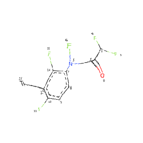 O=C(C(F)F)N(F)c1ccc(F)[c]([Ti])c1F